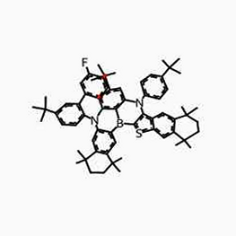 CC(C)(C)c1ccc(N2c3cc(C(C)(C)C)cc4c3B(c3cc5c(cc3N4c3ccc(C(C)(C)C)cc3-c3cccc(F)c3)C(C)(C)CCC5(C)C)c3sc4cc5c(cc4c32)C(C)(C)CCC5(C)C)cc1